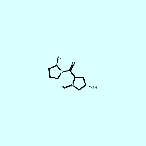 CC(=O)[C@@H]1CCCN1C(=O)C1C[C@H](S)CN1C(C)C